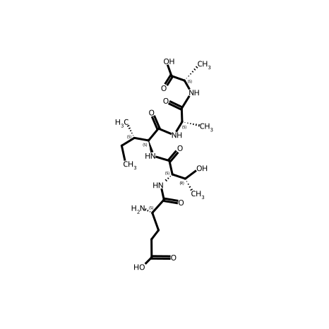 CC[C@H](C)[C@H](NC(=O)[C@@H](NC(=O)[C@@H](N)CCC(=O)O)[C@@H](C)O)C(=O)N[C@@H](C)C(=O)N[C@@H](C)C(=O)O